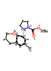 CC(C)(C)OC(=O)N1CCC[C@H]1c1cc(Br)cc2c1OCCC2